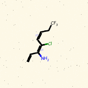 C=C/C(N)=C(Cl)\C=C/CC(F)(F)F